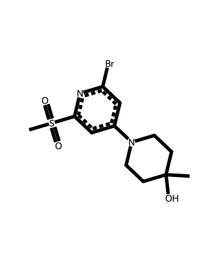 CC1(O)CCN(c2cc(Br)nc(S(C)(=O)=O)c2)CC1